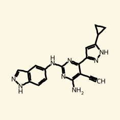 C#Cc1c(N)nc(Nc2ccc3[nH]ncc3c2)nc1-c1cc(C2CC2)[nH]n1